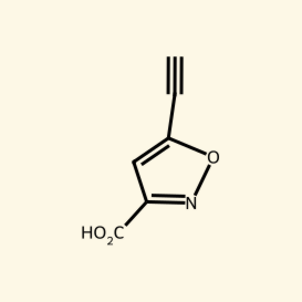 C#Cc1cc(C(=O)O)no1